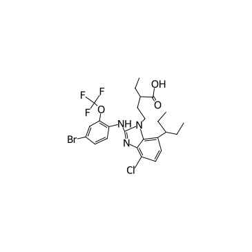 CCC(CCn1c(Nc2ccc(Br)cc2OC(F)(F)F)nc2c(Cl)ccc(C(CC)CC)c21)C(=O)O